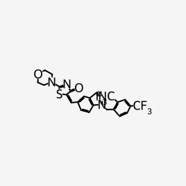 O=C1N=C(N2CCOCC2)SC1=Cc1ccc2c(cnn2Cc2ccc(C(F)(F)F)cc2C(F)(F)F)c1